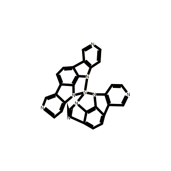 c1cc2c(cn1)c1ccc3c4cnccc4n4c3c1n2[Si]41n2c3ccncc3c3ccc4c5cnccc5n1c4c32